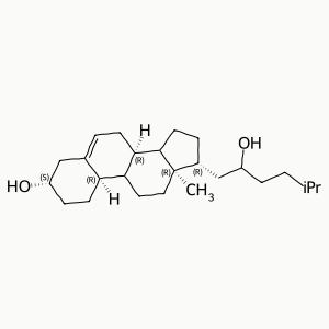 CC(C)CCC(O)C[C@H]1CCC2[C@@H]3CC=C4C[C@@H](O)CC[C@@H]4C3CC[C@@]21C